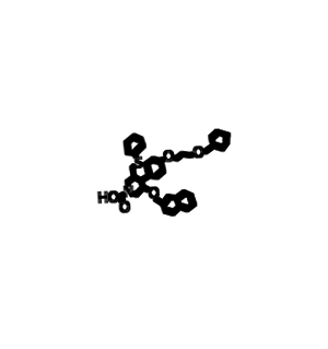 O=C(O)N1CC(CSc2ccccc2)C(c2ccc(OCCCOCc3ccccc3)cc2)C(OCc2ccc3ccccc3c2)C1